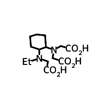 CCN(CC(=O)O)C1CCCCC1N(CC(=O)O)CC(=O)O